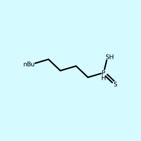 CCCCCCCC[PH](=S)S